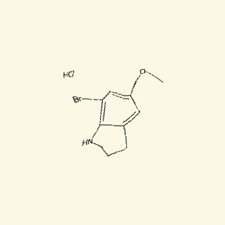 COc1cc(Br)c2c(c1)CCN2.Cl